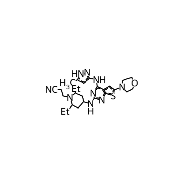 CCC1CC(Nc2nc(Nc3cc(C)[nH]n3)c3cc(N4CCOCC4)sc3n2)CC(CC)N1CCC#N